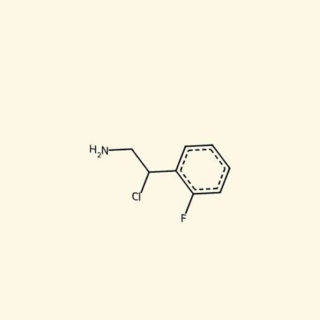 NCC(Cl)c1ccccc1F